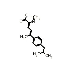 C=N/C(=C\C=C(/C)c1ccc(CC(C)C)cc1)C(C)=O